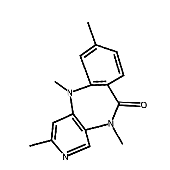 Cc1ccc2c(c1)N(C)c1cc(C)ncc1N(C)C2=O